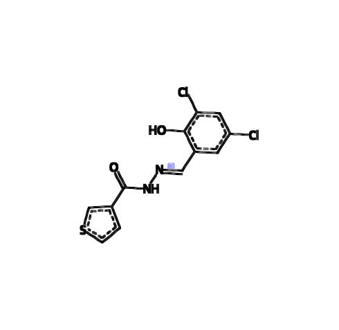 O=C(N/N=C/c1cc(Cl)cc(Cl)c1O)c1ccsc1